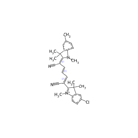 Cc1ccc2c(c1)C(C)(C)/C(=C(C#N)/C=C/C=C(\C#N)C1=[N+](C)c3ccc(Cl)cc3C1(C)C)N2C